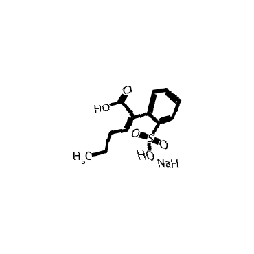 CCCC=C(C(=O)O)c1ccccc1S(=O)(=O)O.[NaH]